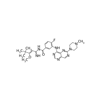 CO/C(=C\C(=N)NC(=O)c1ccc(F)c(Nc2ncnc3cnc(N4CCN(C)CC4)nc23)c1)C(C)(C)C